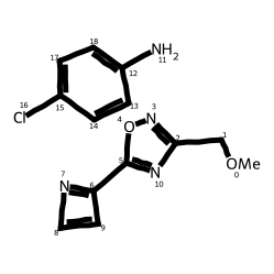 COCc1noc(C2=NC=C2)n1.Nc1ccc(Cl)cc1